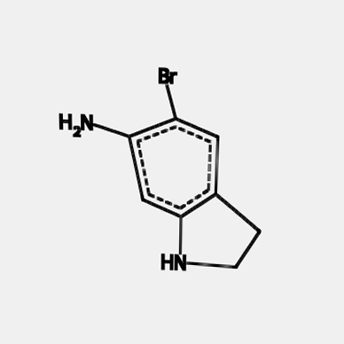 Nc1cc2c(cc1Br)CCN2